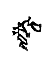 Cc1ccc(C(c2c(O)cc(CC3(CC4CCCOC4)CC3)oc2=O)C2CC2)s1